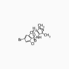 Cc1nn(C)c(C)c1NS(=O)(=O)c1c(Cl)cc(Br)cc1Cl